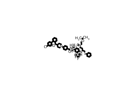 CC(C)OCCN(C)CCC(CSc1ccccc1)Nc1ccc(S(=O)(=O)NC(=O)c2ccc(N3CCC(C(O)c4ccccc4-c4ccc(Cl)cc4)CC3)cc2)cc1S(=O)(=O)C(F)(F)F